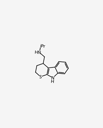 CC(C)NCC1CCSc2[nH]c3ccccc3c21